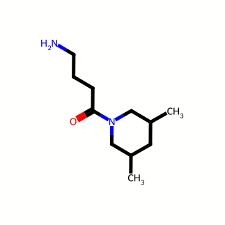 CC1CC(C)CN(C(=O)CCCN)C1